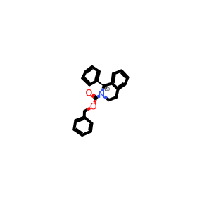 O=C(OCc1ccccc1)N1CCc2ccccc2[C@@H]1c1ccccc1